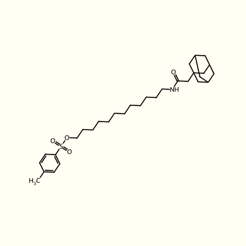 Cc1ccc(S(=O)(=O)OCCCCCCCCCCCCNC(=O)CC23CC4CC(CC(C4)C2)C3)cc1